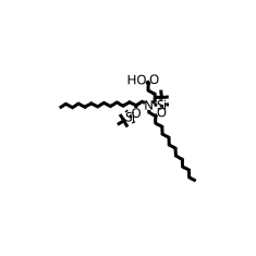 CCCCCCCCCCCCC(CN(CCCC(=O)O)CC(CCCCCCCCCCCC)O[Si](C)(C)C(C)(C)C)O[Si](C)(C)C(C)(C)C